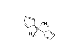 [CH3][Ti]([CH3])([CH]1C=CC=C1)[CH]1C=CC=C1